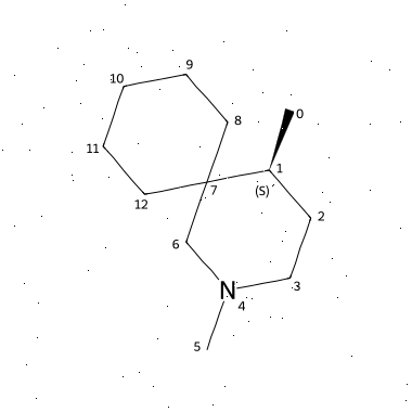 C[C@H]1CCN(C)CC12CCCCC2